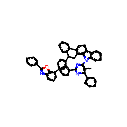 Cc1c(-c2ccccc2)nc(-c2ccccc2)nc1-n1c2ccccc2c2ccc3c(c21)CC(c1ccc(-c2cccc4nc(-c5ccccc5)oc24)cc1)c1ccccc1-3